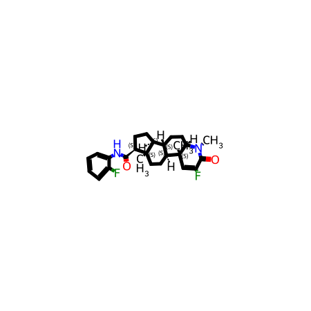 CN1C(=O)C(F)=C[C@]2(C)[C@H]3CC[C@]4(C)[C@@H](C(=O)Nc5ccccc5F)CC[C@H]4[C@@H]3CC[C@@H]12